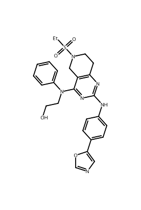 CCS(=O)(=O)N1CCc2nc(Nc3ccc(-c4cnco4)cc3)nc(N(CCO)c3ccccc3)c2C1